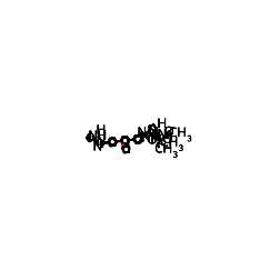 CCC(C)[C@H](NC(=O)OC)C(=O)N1CCCC1c1nc2cc(-c3ccc(-c4ccc(-c5cnc(C6CCCN6)[nH]5)cc4)c4c3C3CCC4C3)ccc2[nH]1